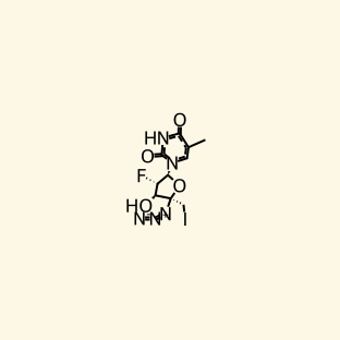 Cc1cn([C@@H]2O[C@@](CI)(N=[N+]=[N-])[C@@H](O)[C@@H]2F)c(=O)[nH]c1=O